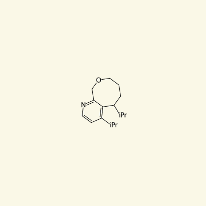 CC(C)c1ccnc2c1C(C(C)C)CCCOC2